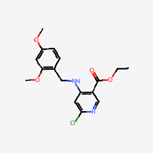 CCOC(=O)c1cnc(Cl)cc1NCc1ccc(OC)cc1OC